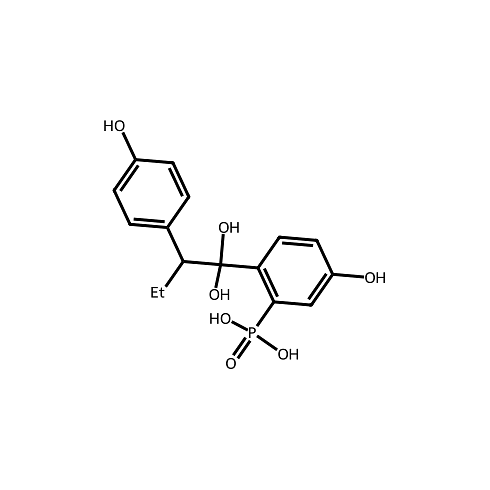 CCC(c1ccc(O)cc1)C(O)(O)c1ccc(O)cc1P(=O)(O)O